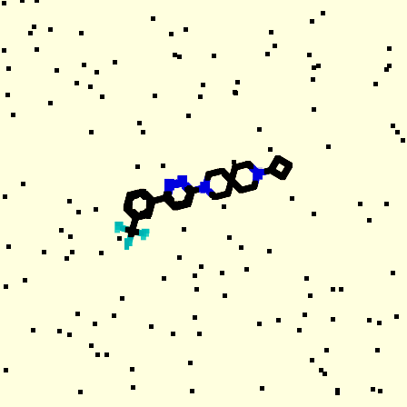 FC(F)(F)c1cccc(-c2ccc(N3CCC4(CC3)CCN(C3CCC3)CC4)nn2)c1